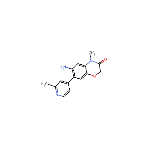 Cc1cc(-c2cc3c(cc2N)N(C)C(=O)CO3)ccn1